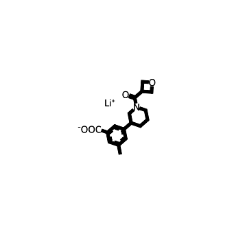 Cc1cc(C(=O)[O-])cc(C2CCCN(C(=O)C3COC3)C2)c1.[Li+]